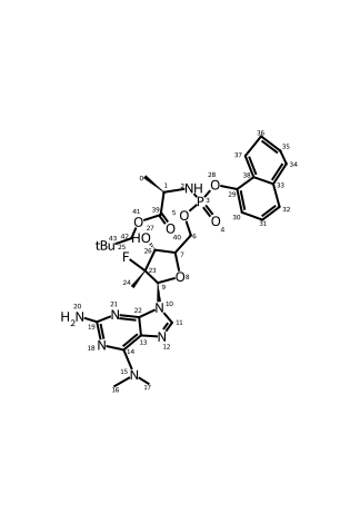 C[C@@H](NP(=O)(OCC1O[C@@H](n2cnc3c(N(C)C)nc(N)nc32)[C@](C)(F)[C@@H]1O)Oc1cccc2ccccc12)C(=O)OCC(C)(C)C